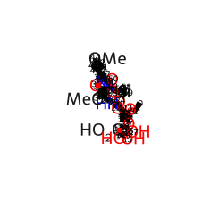 C#CCOc1cc(O[C@@H]2C[C@H](C(=O)O)[C@@H](O)[C@H](O)[C@H]2O)ccc1COC(=O)NCCc1cc2c(cc1OC)C(=O)N1C=C(c3ccc(OC)cc3)CC1C(=O)N2COCC[Si](C)(C)C